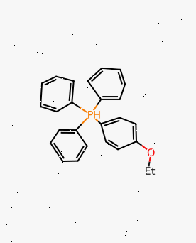 CCOc1ccc([PH](c2ccccc2)(c2ccccc2)c2ccccc2)cc1